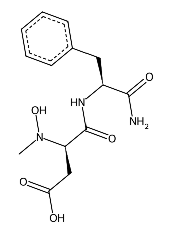 CN(O)[C@H](CC(=O)O)C(=O)N[C@@H](Cc1ccccc1)C(N)=O